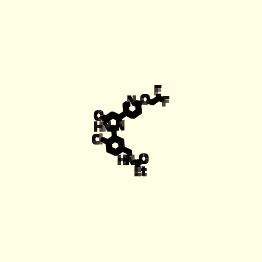 CCC(=O)NCc1ccc(Cl)c(-c2nc(-c3ccc(OCC(F)F)nc3)cc(=O)[nH]2)c1